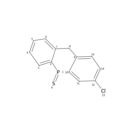 S=Pc1ccccc1Cc1ccc(Cl)cc1